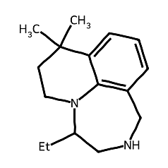 CCC1CNCc2cccc3c2N1CCC3(C)C